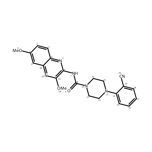 COc1ccc2nc(NC(=O)N3CCN(c4ccccc4C#N)CC3)c(OC)nc2c1